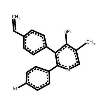 C=Cc1ccc(-c2c(-c3ccc(CC)cc3)ncc(C)c2CCC)cc1